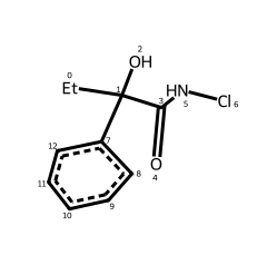 CCC(O)(C(=O)NCl)c1ccccc1